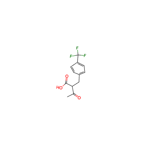 CC(=O)C(Cc1ccc(C(F)(F)F)cc1)C(=O)O